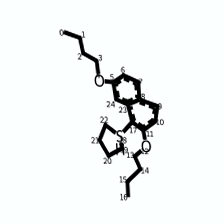 CCCCOc1ccc2ccc(OCCCC)c([SH]3CCCC3)c2c1